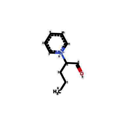 CCCC([C]=O)[n+]1ccccc1